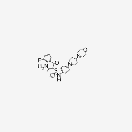 C/C(N)=C(\SC1(Nc2ccc(N3CCC(N4CCOCC4)CC3)cc2)C=CC1)C(=O)c1cccc(F)c1